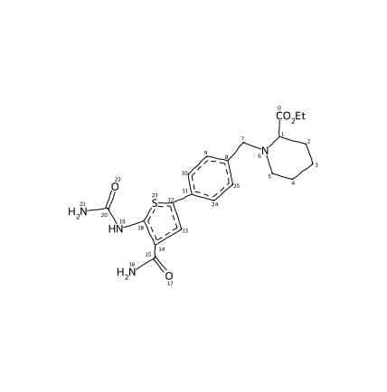 CCOC(=O)C1CCCCN1Cc1ccc(-c2cc(C(N)=O)c(NC(N)=O)s2)cc1